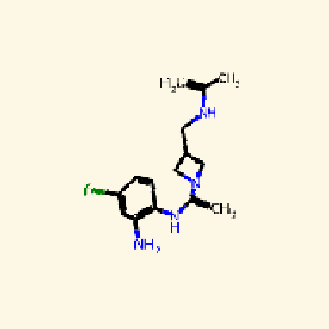 C=C(C)NCC1CN(C(=C)Nc2ccc(F)cc2N)C1